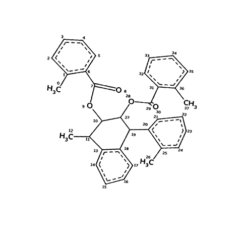 Cc1ccccc1C(=O)OC1C(C)c2ccccc2C(c2ccccc2C)C1OC(=O)c1ccccc1C